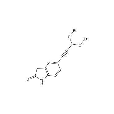 CCOC(C#Cc1ccc2c(c1)CC(=O)N2)OCC